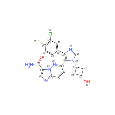 NC(=O)c1cnc2ccc(-c3c(-c4ccc(F)c(Cl)c4)ncn3[C@H]3C[C@@H](O)C3)nn12